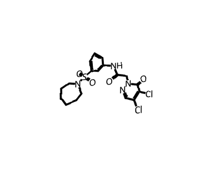 O=C(Cn1ncc(Cl)c(Cl)c1=O)Nc1cccc(S(=O)(=O)N2CCCCCC2)c1